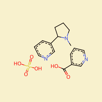 CN1CCCC1c1cccnc1.O=C(O)c1cccnc1.O=S(=O)(O)O